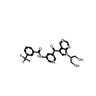 O=C(Nc1cncc(C(=O)c2cn(C(CO)CO)c3ncncc23)c1)c1cccc(C(F)(F)F)c1